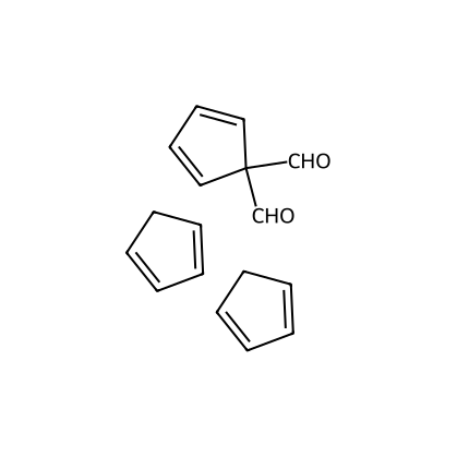 C1=CCC=C1.C1=CCC=C1.O=CC1(C=O)C=CC=C1